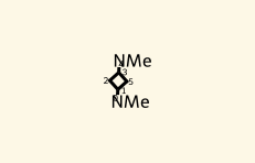 CNC1CC(NC)C1